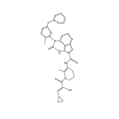 CC1=C(NC(=O)c2sc3nccc4c3c2NC(=O)N4c2cc(Oc3ccccc3)ccc2C)CCCN1C(=O)/C(C#N)=C/C1CC1